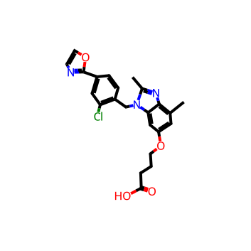 Cc1cc(OCCCC(=O)O)cc2c1nc(C)n2Cc1ccc(-c2ncco2)cc1Cl